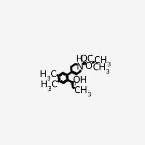 CC[C@@H](O)c1cc(C)c(C)cc1C1=CCN(C(=O)OC(C)(C)C)CC1